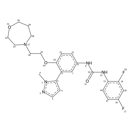 Cn1nccc1-c1cc(NC(=O)Nc2ccc(F)cc2F)ccc1OCCN1CCCOCC1